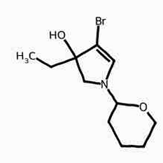 CCC1(O)CN(C2CCCCO2)C=C1Br